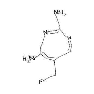 Nc1ncc(CF)c(N)n1